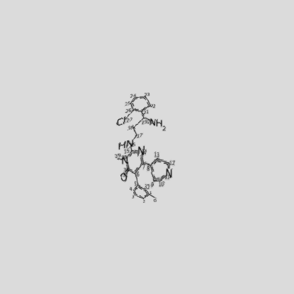 Cc1cccc(-c2c(-c3ccncc3)nc(NCCC(N)c3ccccc3Cl)n(C)c2=O)c1